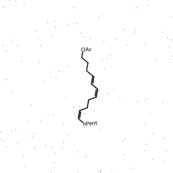 CCCCC/C=C\CC/C=C\C=C\CCCOC(C)=O